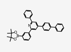 CC1(C)OB(c2cccc(-c3cc(-c4ccc(-c5ccccc5)cc4)cc(-c4ccccc4)n3)c2)OC1(C)C